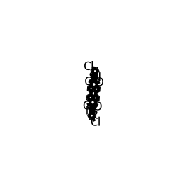 O=C1c2ccc3c4ccc5c6c(ccc(c7ccc(c2c37)C(=O)N1c1nc2ccc(Cl)cc2s1)c64)C(=O)N(c1nc2ccc(Cl)cc2s1)C5=O